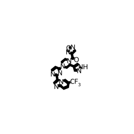 O=C(c1cnon1)N1CCN(c2ccnc(-c3cnc4ccc(C(F)(F)F)cn34)n2)CC1c1cn[nH]c1